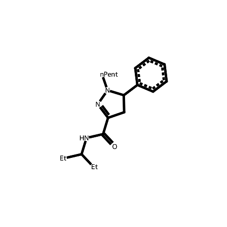 CCCCCN1N=C(C(=O)NC(CC)CC)CC1c1ccccc1